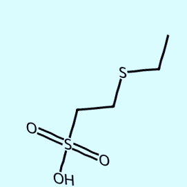 CCSCCS(=O)(=O)O